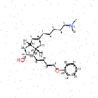 CN(C)CCCCCC1=C[C@H]2C[C@@H](O)[C@H](CCCCOc3ccccc3)[C@H]2C1